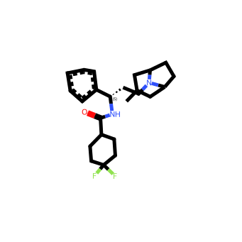 CC1CC2CCC(C1)N2CC[C@H](NC(=O)C1CCC(F)(F)CC1)c1ccccc1